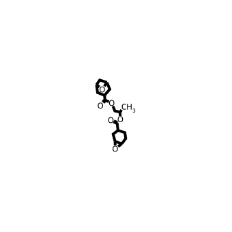 CC(COC(=O)C1CC2CC(C1)O2)OC(=O)C1CCC2OC2C1